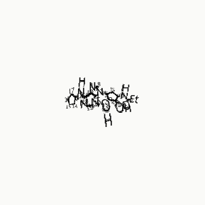 CCC(=O)N[C@H]1C[C@@H](n2cnc3c(NC4CCCC4)ncnc32)[C@H](O)[C@@H]1O